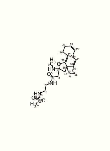 CNC1(CC(=O)NCCNS(C)(=O)=O)CC23CCCCC2=CN2C=CCCC2=C3O1